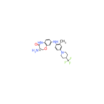 Cc1cc(N2CCC(C(F)(F)F)CC2)ccc1Nc1ccc2c(c1)OC[C@H](N)C(=O)N2